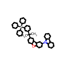 CC(C)(c1cccc([Si](c2ccccc2)(c2ccccc2)c2ccccc2)c1)c1ccc2oc3ccc(-n4c5ccccc5c5ccccc54)cc3c2c1